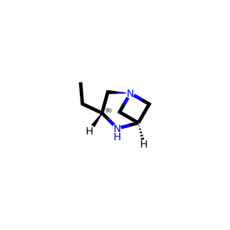 CC[C@@H]1C[N@]2C[C@@H](C2)N1